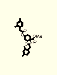 COC(=O)C1(NC(=O)Cc2ccc(C)cc2C)CCC(OC(=O)Cc2ccc(C)cc2C)CC1